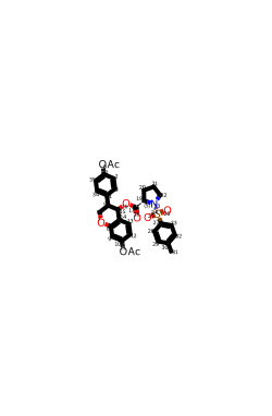 CC(=O)Oc1ccc(C2COc3cc(OC(C)=O)ccc3C2OC(=O)[C@@H]2CCCN2S(=O)(=O)c2ccc(C)cc2)cc1